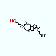 C/C1=C\CC2C(CC[C@@]3(C)C2CC[C@@H]3C(C)CCCC(C)C)[C@@H](C)CCC(OCCCCO)C1